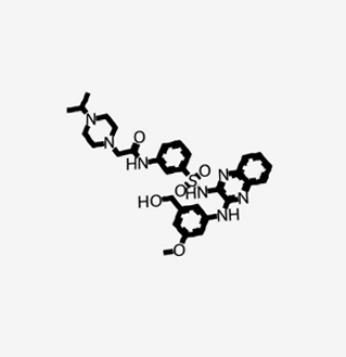 COc1cc(CO)cc(Nc2nc3ccccc3nc2NS(=O)(=O)c2cccc(NC(=O)CN3CCN(C(C)C)CC3)c2)c1